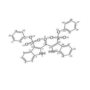 O=C(c1[nH]c2ccccc2c1S(=O)(=O)Oc1ccccc1)c1[nH]c2ccccc2c1S(=O)(=O)Oc1ccccc1